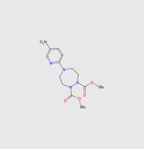 CC(C)(C)OC(=O)N1CCN(c2ccc([N+](=O)[O-])cn2)CCN1C(=O)OC(C)(C)C